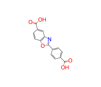 O=C(O)c1ccc(-c2nc3cc(C(=O)O)ccc3o2)cc1